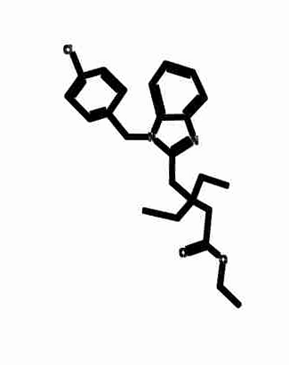 CCOC(=O)CC(CC)(CC)Cc1nc2ccccc2n1Cc1ccc(Cl)cc1